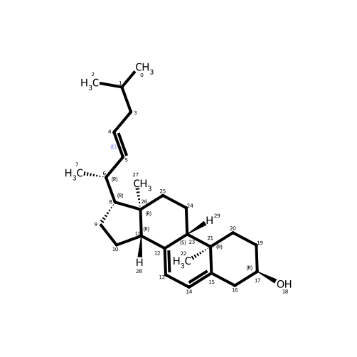 CC(C)C/C=C/[C@@H](C)[C@H]1CC[C@H]2C3=CC=C4C[C@H](O)CC[C@]4(C)[C@H]3CC[C@]12C